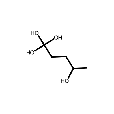 CC(O)C[CH]C(O)(O)O